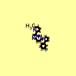 Cc1cccc(-c2cnc3ccc(N4CCCC4c4cccc(F)c4)nn23)n1